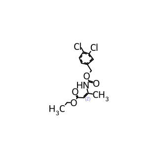 CCOC(=O)/C=C(/C)NC(=O)OCc1ccc(Cl)c(Cl)c1